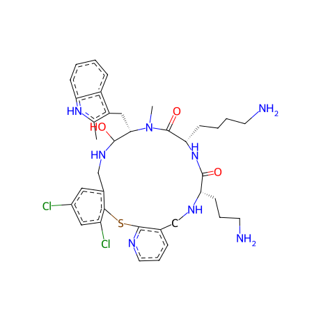 Cc1[nH]c2ccccc2c1C[C@H]1C(O)NCc2cc(Cl)cc(Cl)c2Sc2ncccc2CN[C@@H](CCCN)C(=O)N[C@@H](CCCCN)C(=O)N1C